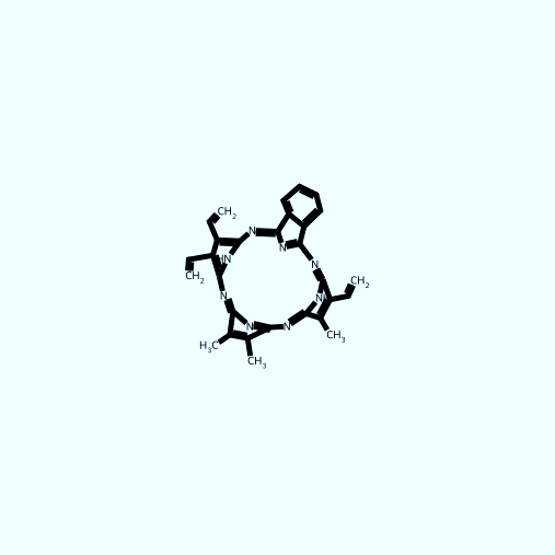 C=Cc1c(C)c2nc3nc(nc4[nH]c(nc5nc(nc1[nH]2)-c1ccccc1-5)c(C=C)c4C=C)C(C)=C3C